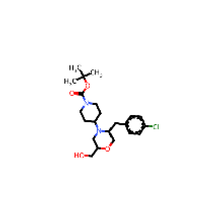 CC(C)(C)OC(=O)N1CCC(N2CC(CO)OCC2Cc2ccc(Cl)cc2)CC1